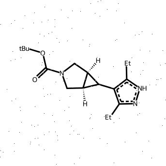 CCc1n[nH]c(CC)c1C1[C@H]2CN(C(=O)OC(C)(C)C)C[C@@H]12